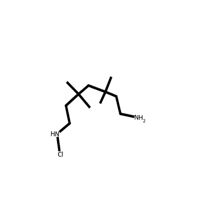 CC(C)(CCN)CC(C)(C)CCNCl